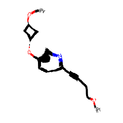 CC(C)OCCC#Cc1ccc(O[C@H]2C[C@H](OC(C)C)C2)cn1